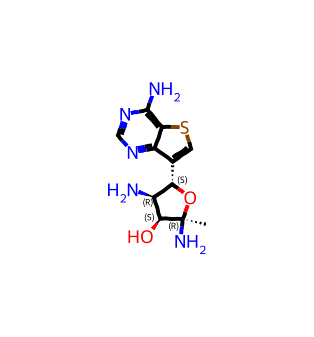 C[C@@]1(N)O[C@@H](c2csc3c(N)ncnc23)[C@H](N)[C@@H]1O